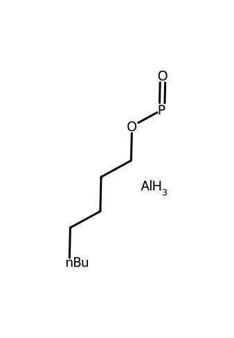 CCCCCCCCOP=O.[AlH3]